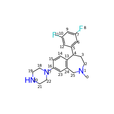 CN1CCC(c2cc(F)cc(F)c2)c2ccc(N3CCNCC3)cc2C1